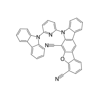 N#Cc1cccc2c1oc1c(C#N)c3c(cc12)c1ccccc1n3-c1cccc(-n2c3ccccc3c3ccccc32)n1